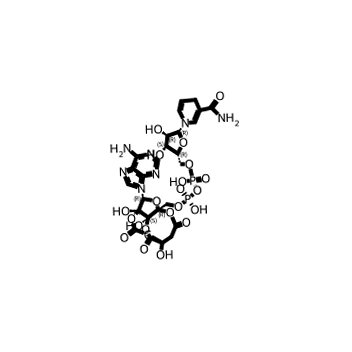 NC(=O)C1=CN([C@@H]2O[C@H](COP(=O)(O)OP(=O)(O)OC[C@]34OC(=O)CC5(O)CC(=O)O[C@](O)([C@H](n6cnc7c(N)ncnc76)O3)[C@]4(O)OC5=O)[C@@H](O)[C@H]2O)C=CC1